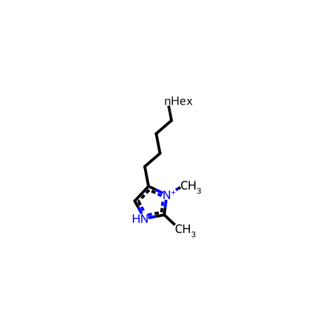 CCCCCCCCCCc1c[nH]c(C)[n+]1C